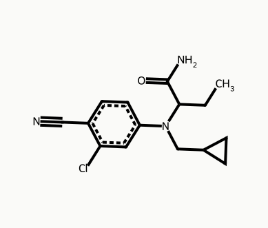 CCC(C(N)=O)N(CC1CC1)c1ccc(C#N)c(Cl)c1